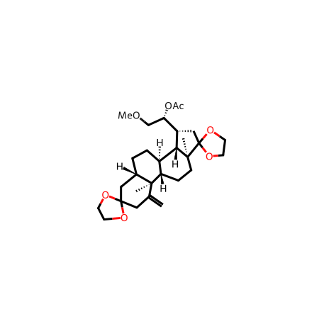 C=C1CC2(C[C@@H]3CC[C@H]4[C@@H]5[C@H]([C@H](COC)OC(C)=O)CC6(OCCO6)[C@@]5(C)CC[C@@H]4[C@@]13C)OCCO2